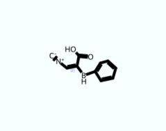 [C-]#[N+]/C=C(/Bc1ccccc1)C(=O)O